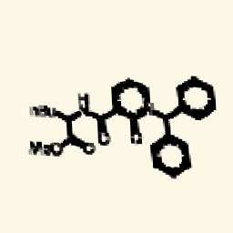 CCCCC(NC(=O)c1cccn(C(c2ccccc2)c2ccccc2)c1=O)C(=O)OC